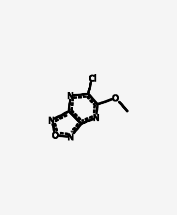 COc1nc2nonc2nc1Cl